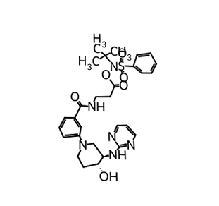 CC(C)(C)N(OC(=O)CCNC(=O)c1cccc(N2CC[C@@H](O)[C@H](Nc3ncccn3)C2)c1)S(=O)(=O)c1ccccc1